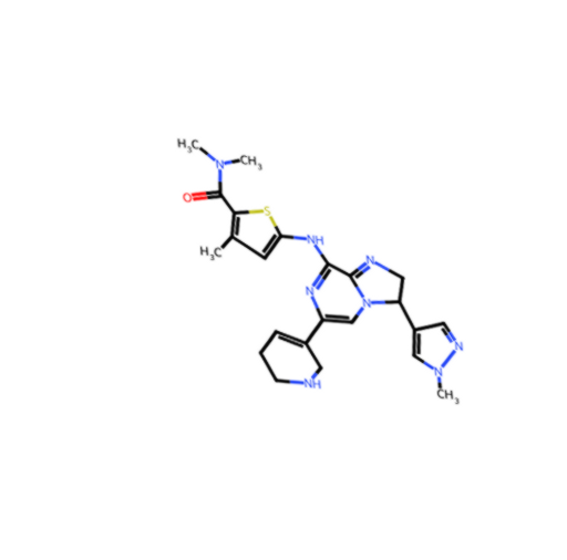 Cc1cc(NC2=NC(C3=CCCNC3)=CN3C2=NCC3c2cnn(C)c2)sc1C(=O)N(C)C